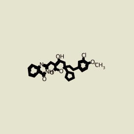 COc1ccc(CCC2(C3CCCC3)CC(O)=C(Cc3nc4ccccc4c(=O)[nH]3)C(=O)O2)cc1Cl